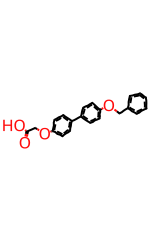 O=C(O)COc1ccc(-c2ccc(OCc3ccccc3)cc2)cc1